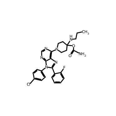 CCCNC1(OC(N)=O)CCN(c2ncnc3c2nc(-c2ccccc2F)n3-c2ccc(Cl)cc2)CC1